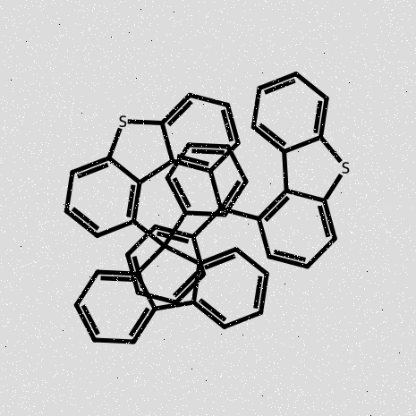 c1ccc(C(c2cccc3sc4ccccc4c23)c2cccc3sc4cccc(C5(c6ccccc6)c6ccccc6-c6ccccc65)c4c23)cc1